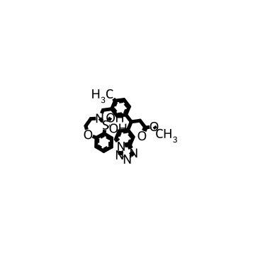 COC(=O)CC(c1ccc(C)c(CN2CCOc3ccccc3S2(O)O)c1)c1ccn2nnnc2c1